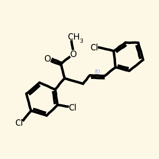 COC(=O)C(C/C=C/c1ccccc1Cl)c1ccc(Cl)cc1Cl